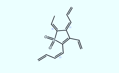 C=C/C=C\C1=C(C=C)C(=C/C=C)/C(=C\C)S1(=O)=O